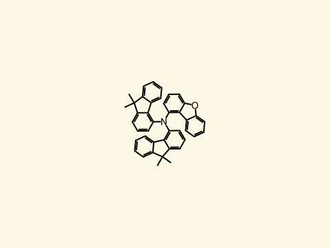 CC1(C)c2ccccc2-c2c(N(c3cccc4c3-c3ccccc3C4(C)C)c3cccc4oc5ccccc5c34)cccc21